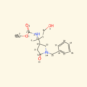 CC(C)(C)OC(=O)NC(C)(CCO)C1CC(=O)N(Cc2ccccc2)C1